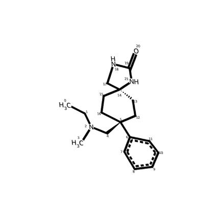 CCN(C)C[C@]1(c2ccccc2)CC[C@]2(CC1)CNC(=O)N2